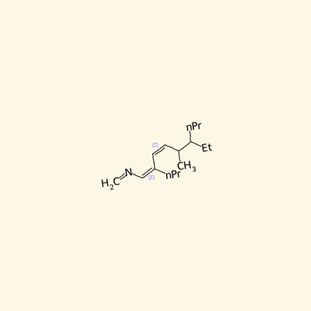 C=N/C=C(\C=C/C(C)C(CC)CCC)CCC